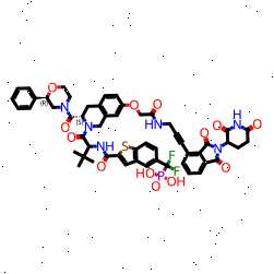 CC(C)(C)C(NC(=O)c1cc2cc(C(F)(F)P(=O)(O)O)ccc2s1)C(=O)N1Cc2cc(OCC(=O)NCC#Cc3cccc4c3C(=O)N(C3CCC(=O)NC3=O)C4=O)ccc2C[C@H]1C(=O)N1CCO[C@H](c2ccccc2)C1